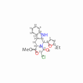 CCc1ccc(C2c3[nH]c4ccccc4c3CC(C(=O)OC)N2C(=O)CCl)o1